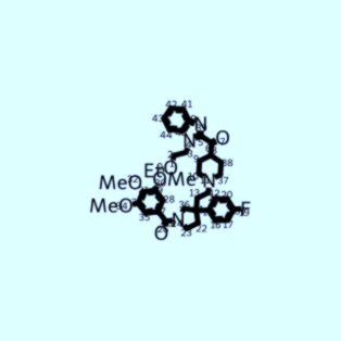 CCOCCn1c(C(=O)C2CCN(CCC3(c4ccc(F)cc4)CCN(C(=O)c4cc(OC)c(OC)c(OC)c4)C3)CC2)nc2ccccc21